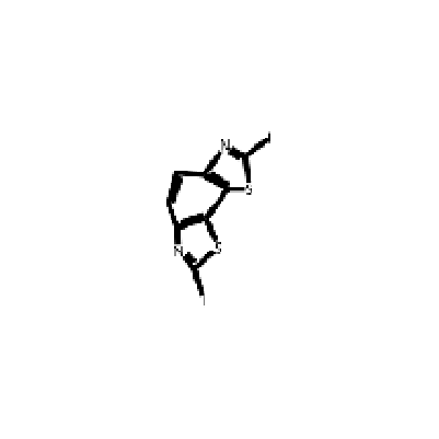 Ic1nc2ccc3nc(I)sc3c2s1